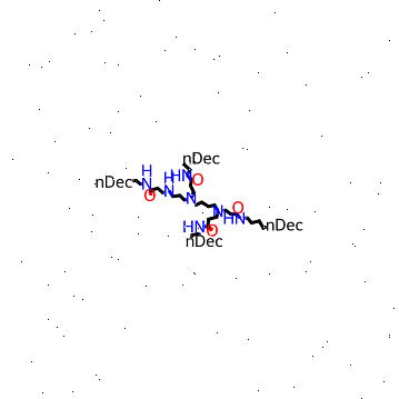 CCCCCCCCCCCCCCNC(=O)CCN(CCCCN(CCCNCCC(=O)NCCCCCCCCCCCC)CCC(=O)NCCCCCCCCCCCC)CCC(=O)NCCCCCCCCCCCC